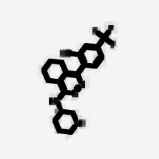 Oc1cc(C(F)(F)F)ccc1-c1nnc(N[C@@H]2CCCNC2)c2c1CCCC2